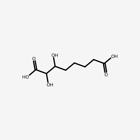 O=C(O)CCCCC(O)C(O)C(=O)O